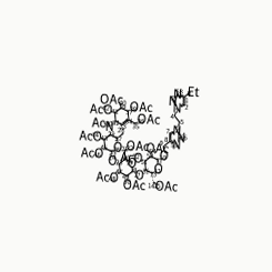 CCc1cn(CCn2cc(CO[C@@H]3O[C@H](COC(C)=O)[C@@H](O[C@H]4O[C@H](COC(C)=O)[C@@H](O[C@H]5O[C@H](C)[C@@H](N(C(C)=O)[C@H]6C=C(COC(C)=O)[C@@H](OC(C)=O)[C@H](OC(C)=O)[C@H]6OC(C)=O)[C@H](OC(C)=O)[C@H]5OC(C)=O)[C@H](OC(C)=O)[C@H]4OC(C)=O)[C@H](OC(C)=O)[C@H]3OC(C)=O)nn2)nn1